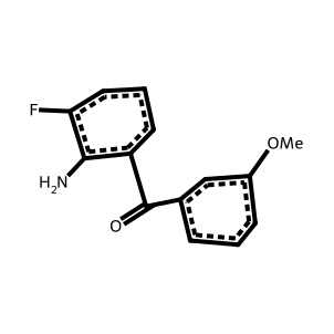 COc1cccc(C(=O)c2cccc(F)c2N)c1